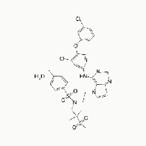 Cc1ccc(S(=O)(=O)N(CCn2ccc3ncnc(Nc4ccc(Oc5cccc(Cl)c5)c(Cl)c4)c32)CC(C)(C)S(C)(=O)=O)cc1.O